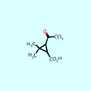 CC1(C)C(C(=O)O)C1C(=O)C(Cl)(Cl)Cl